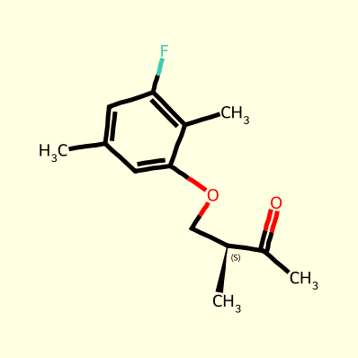 CC(=O)[C@@H](C)COc1cc(C)cc(F)c1C